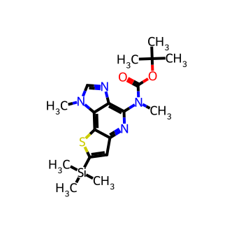 CN(C(=O)OC(C)(C)C)c1nc2cc([Si](C)(C)C)sc2c2c1ncn2C